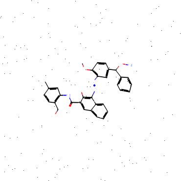 COc1ccc(C(ON)c2ccccc2)cc1N=Nc1c(O)c(C(=O)Nc2cc(C)ccc2CO)cc2ccccc12